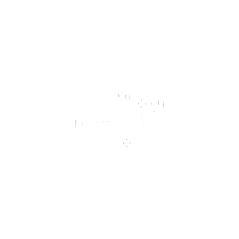 CC(=O)O.CC[C](=O)[Cu]